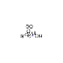 COc1ccc(/C=C/C(=O)c2cc(-c3ccccc3OC)ccc2OCCN(C)C)c(Cl)c1